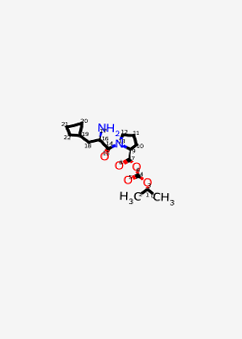 CC(C)OC(=O)OC(=O)[C@@H]1CCCN1C(=O)[C@H](N)CC1CCC1